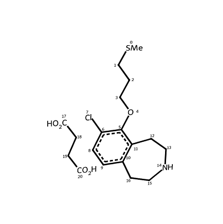 CSCCCOc1c(Cl)ccc2c1CCNCC2.O=C(O)CCC(=O)O